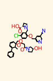 CC1C(c2ccccc2)=CC=CC1(COc1cc(OCc2cncc(C#N)c2)c(CN2CC[C@H]2C(=O)O)cc1Cl)OCCC(=O)N1CC[C@@H](O)C1